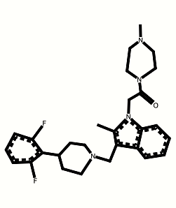 Cc1c(CN2CCC(c3c(F)cccc3F)CC2)c2ccccc2n1CC(=O)N1CCN(C)CC1